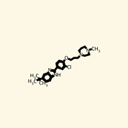 CN1CCCN(CCCOc2ccc(-c3nc4cc(C(C)(C)C)ccc4[nH]3)cc2Cl)CC1